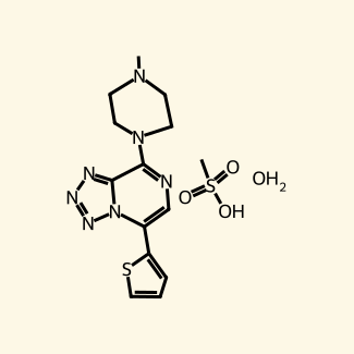 CN1CCN(c2ncc(-c3cccs3)n3nnnc23)CC1.CS(=O)(=O)O.O